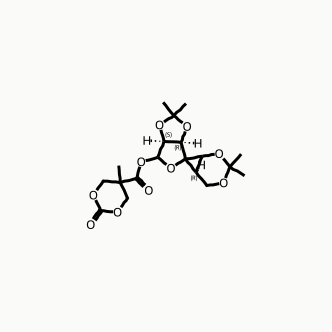 CC1(C)OC[C@@H]2C(O1)C21OC(OC(=O)C2(C)COC(=O)OC2)[C@H]2OC(C)(C)O[C@H]21